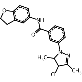 CC1=NN(c2cccc(C(=O)Nc3ccc4c(c3)CCO4)c2)C(C)C1Cl